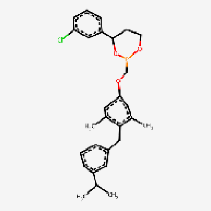 Cc1cc(OCP2OCCC(c3cccc(Cl)c3)O2)cc(C)c1Cc1cccc(C(C)C)c1